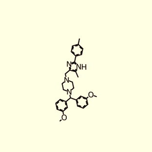 COc1cccc(C(c2cccc(OC)c2)N2CCN(Cc3nc(-c4ccc(C)cc4)[nH]c3C)CC2)c1